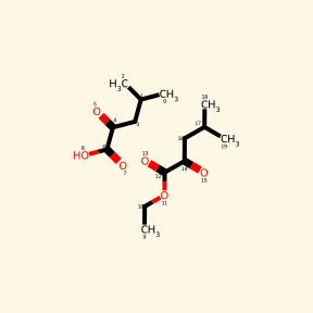 CC(C)CC(=O)C(=O)O.CCOC(=O)C(=O)CC(C)C